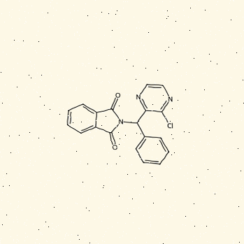 O=C1c2ccccc2C(=O)N1C(c1ccccc1)c1nccnc1Cl